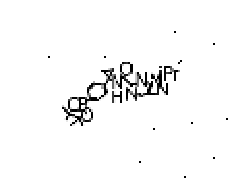 CC(C)n1ncc2cnc(C(=O)NC3(c4ccc(B5OC(C)(C)C(C)(C)O5)cc4)CC3)nc21